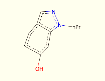 C[CH]Cn1ncc2ccc(O)cc21